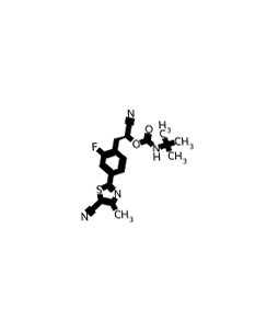 Cc1nc(-c2ccc(C[C@@H](C#N)OC(=O)NC(C)(C)C)c(F)c2)sc1C#N